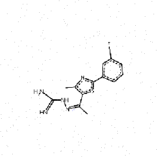 C/C(=N/NC(=N)N)c1sc(-c2cccc(F)c2)nc1C